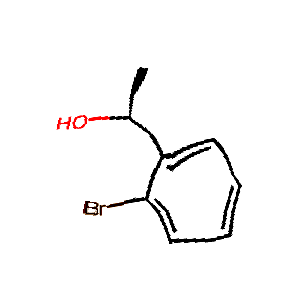 C[C@H](O)c1ccccc1Br